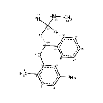 [2H]c1ccc(C)c(O[C@H](CC([2H])([2H])NC)c2ccccc2)c1